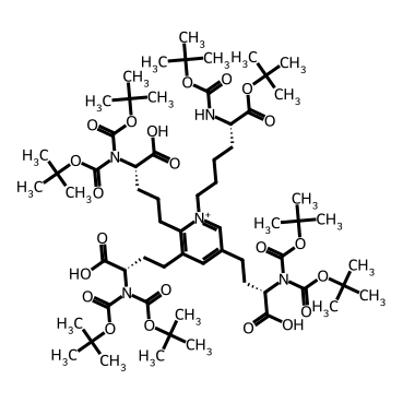 CC(C)(C)OC(=O)N[C@@H](CCCC[n+]1cc(CC[C@@H](C(=O)O)N(C(=O)OC(C)(C)C)C(=O)OC(C)(C)C)cc(CC[C@@H](C(=O)O)N(C(=O)OC(C)(C)C)C(=O)OC(C)(C)C)c1CCC[C@@H](C(=O)O)N(C(=O)OC(C)(C)C)C(=O)OC(C)(C)C)C(=O)OC(C)(C)C